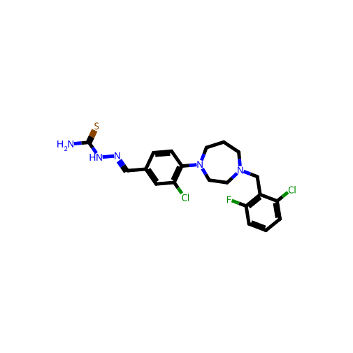 NC(=S)N/N=C/c1ccc(N2CCCN(Cc3c(F)cccc3Cl)CC2)c(Cl)c1